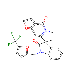 Cc1coc2cc3n(c(=O)c12)CCC31C(=O)N(Cc2ccc(C(F)(F)F)o2)c2ccccc21